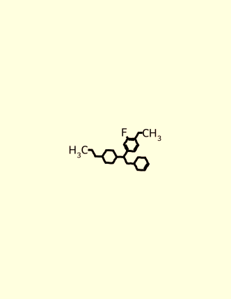 CCCC1CCC(C(CC2CC=CCC2)c2ccc(CC)c(F)c2)CC1